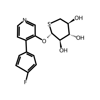 O[C@@H]1[C@@H](O)[C@H](Oc2cnccc2-c2ccc(F)cc2)SC[C@H]1O